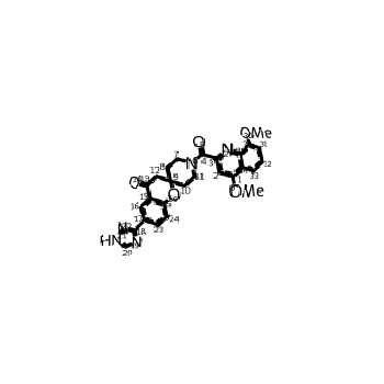 COc1cc(C(=O)N2CCC3(CC2)CC(=O)c2cc(-c4nc[nH]n4)ccc2O3)nc2c(OC)cccc12